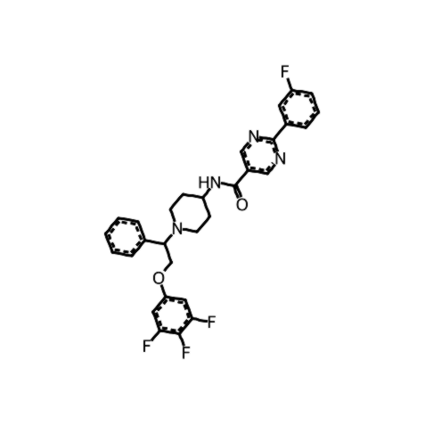 O=C(NC1CCN(C(COc2cc(F)c(F)c(F)c2)c2ccccc2)CC1)c1cnc(-c2cccc(F)c2)nc1